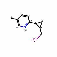 Cc1ccc(C2CC2CP)nc1